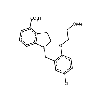 COCCOc1ccc(Cl)cc1CN1CCc2c(C(=O)O)cccc21